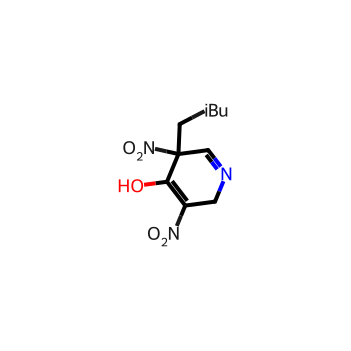 CCC(C)CC1([N+](=O)[O-])C=NCC([N+](=O)[O-])=C1O